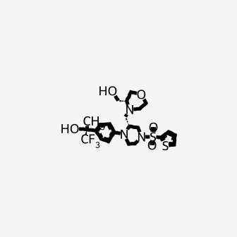 C[C@](O)(c1ccc(N2CCN(S(=O)(=O)c3cccs3)C[C@H]2CN2CCOC[C@H]2CO)cc1)C(F)(F)F